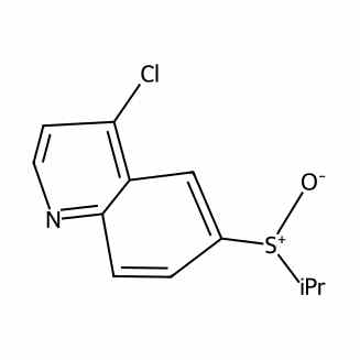 CC(C)[S+]([O-])c1ccc2nccc(Cl)c2c1